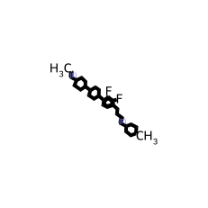 C/C=C/C1CCC(C2CCC(c3ccc(CC/C=C/C4CCC(C)CC4)c(F)c3F)CC2)CC1